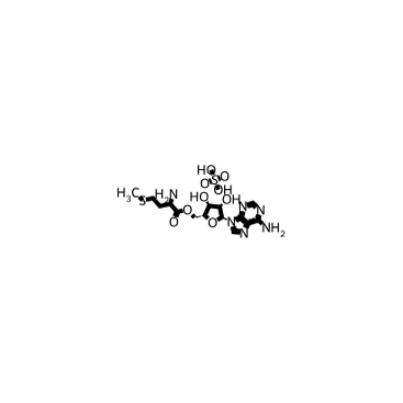 CSCCC(N)C(=O)OC[C@H]1O[C@@H](n2cnc3c(N)ncnc32)[C@H](O)[C@@H]1O.O=S(=O)(O)O